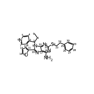 CCC(c1ccncc1)n1c(-c2ccco2)nc2c(N)nc(SCCc3ccccc3)nc21